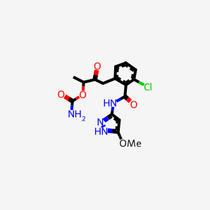 COc1cc(NC(=O)c2c(Cl)cccc2CC(=O)C(C)OC(N)=O)n[nH]1